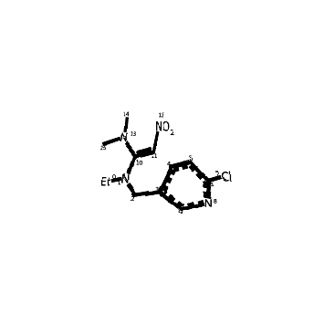 CCN(Cc1ccc(Cl)nc1)C(=C[N+](=O)[O-])N(C)C